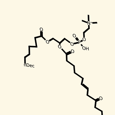 CCCCCCCCCCCCCCCC(=O)OCC(COP(=O)(O)OCC[N+](C)(C)C)OC(=O)CCCCC=CCC(=O)CCC(=O)O